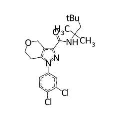 CC(C)(C)CC(C)(C)NC(=O)c1nn(-c2ccc(Cl)c(Cl)c2)c2c1COCC2